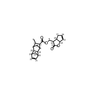 CC1C2CC(C1C(=O)OCC1C(=O)OC3C=CCC31)C1C3C=CC(C3)C21